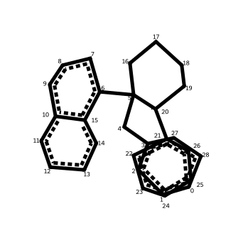 c1ccc(CC2(c3cccc4ccccc34)CCCC[C]2c2ccccc2)cc1